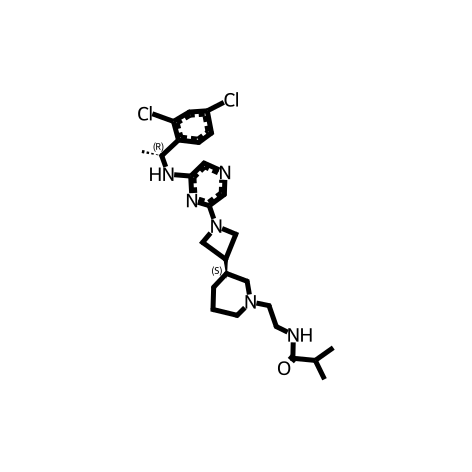 CC(C)C(=O)NCCN1CCC[C@@H](C2CN(c3cncc(N[C@H](C)c4ccc(Cl)cc4Cl)n3)C2)C1